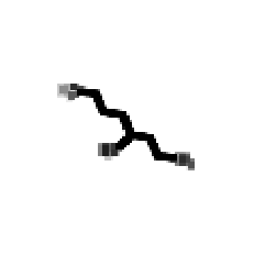 CCCCC([SiH3])CCC